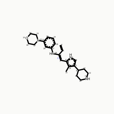 C=C/C(=C\c1[nH]cc(C2CCNCC2)c1C)Nc1cccc(N2CCOCC2)c1